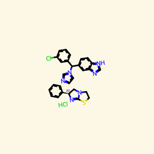 Cl.Clc1cccc(C(c2ccc3[nH]cnc3c2)n2ccnc2)c1.c1ccc([C@H]2CN3CCSC3=N2)cc1